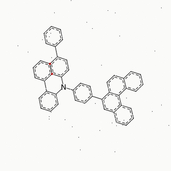 c1ccc(-c2ccc(N(c3ccc(-c4cc5ccccc5c5c4ccc4ccccc45)cc3)c3ccccc3-c3ccccc3)cc2)cc1